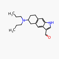 CCCN(CCC)C1CCc2cc3[nH]cc(C=O)c3cc2C1